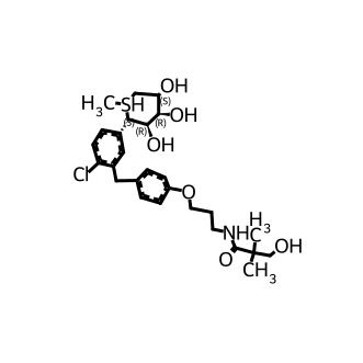 C[SH]1C[C@@H](O)[C@@H](O)[C@@H](O)[C@@H]1c1ccc(Cl)c(Cc2ccc(OCCCNC(=O)C(C)(C)CO)cc2)c1